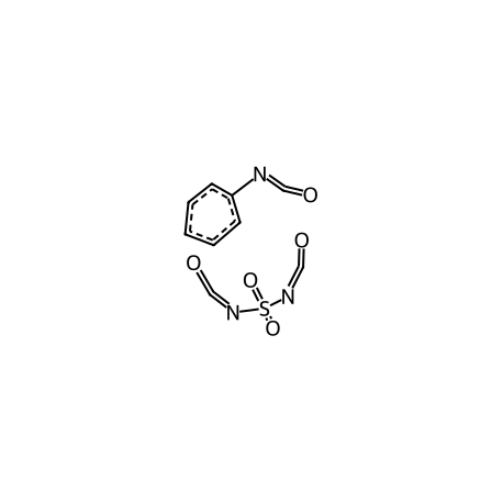 O=C=NS(=O)(=O)N=C=O.O=C=Nc1ccccc1